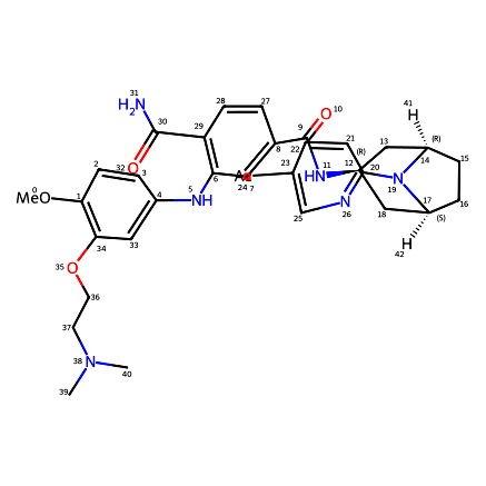 COc1ccc(Nc2cc(C(=O)N[C@H]3C[C@H]4CC[C@@H](C3)N4c3ccc(C(C)=O)cn3)ccc2C(N)=O)cc1OCCN(C)C